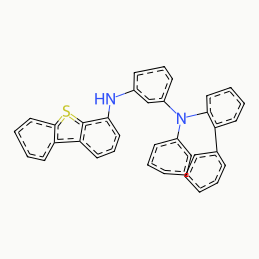 c1ccc(-c2ccccc2N(c2ccccc2)c2cccc(Nc3cccc4c3sc3ccccc34)c2)cc1